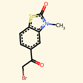 Cn1c(=O)sc2ccc(C(=O)CBr)cc21